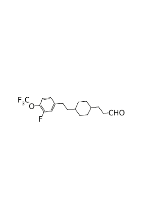 O=CCCC1CCC(CCc2ccc(OC(F)(F)F)c(F)c2)CC1